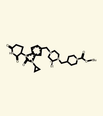 CC[C@H]1CN(Cc2ccc3c(c2)n(C2CC2)c(=O)n3C2CCC(=O)NC2=O)CCN1CC1CCN(C(=O)OC(C)(C)C)CC1